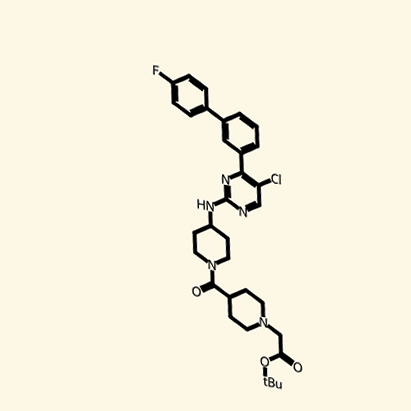 CC(C)(C)OC(=O)CN1CCC(C(=O)N2CCC(Nc3ncc(Cl)c(-c4cccc(-c5ccc(F)cc5)c4)n3)CC2)CC1